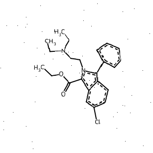 CCOC(=O)c1c2cc(Cl)ccc2c(-c2ccccc2)n1CCN(CC)CC